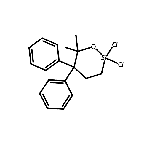 CC1(C)O[Si](Cl)(Cl)CCC1(c1ccccc1)c1ccccc1